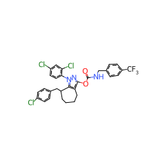 O=C(NCc1ccc(C(F)(F)F)cc1)Oc1nn(-c2ccc(Cl)cc2Cl)c2c1CCCCC2Cc1ccc(Cl)cc1